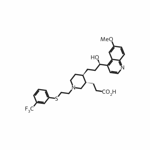 COc1ccc2nccc([C@H](O)CC[C@@H]3CCN(CCSc4cccc(C(F)(F)F)c4)C[C@H]3CCC(=O)O)c2c1